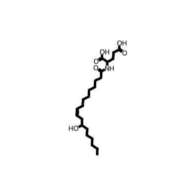 CCCCCCC(O)C/C=C\CCCCCCCC(=O)NC(CCC(=O)O)C(=O)O